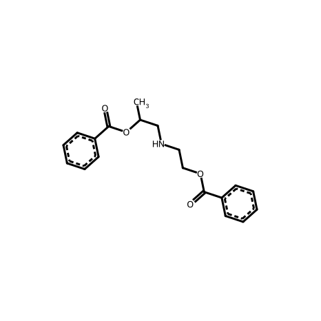 CC(CNCCOC(=O)c1ccccc1)OC(=O)c1ccccc1